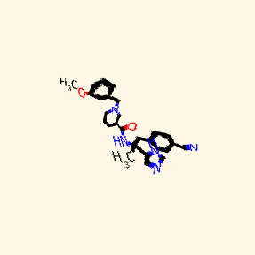 COc1cccc(CN2CCC[C@H](C(=O)NC(C)(Cc3ccc(C#N)cc3)c3cnc[nH]3)C2)c1